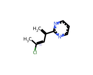 C=C(/C=C(\C)Cl)c1ncccn1